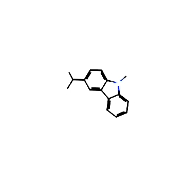 CC(C(=O)O)c1ccc2c(c1)c1ccccc1n2C